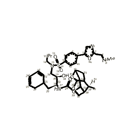 CNCc1ncc(-c2ccc(S(=O)(=O)N(CC(C)C)C[C@@H](O)[C@H](CC3C=CC=CC3)NC(=O)OC3C4CC5C(OCC3[C@@H]5C)O4)cc2)o1